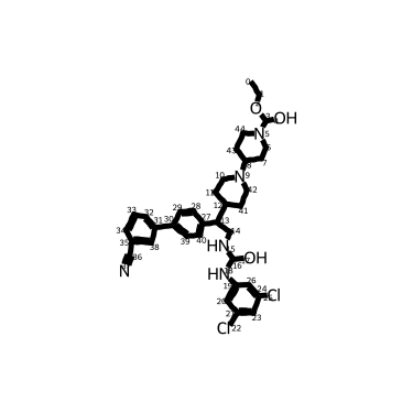 CCOC(O)N1CCC(N2CCC(C(CNC(O)Nc3cc(Cl)cc(Cl)c3)c3ccc(-c4cccc(C#N)c4)cc3)CC2)CC1